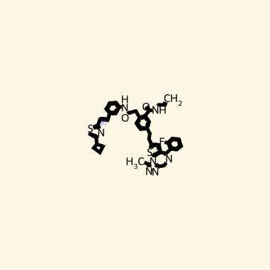 C=CCNC(=O)c1cc(CCc2cc3c(s2)-n2c(C)nnc2CN=C3c2ccccc2F)ccc1CC(=O)Nc1cccc(/C=C/c2nc(C3CCC3)cs2)c1